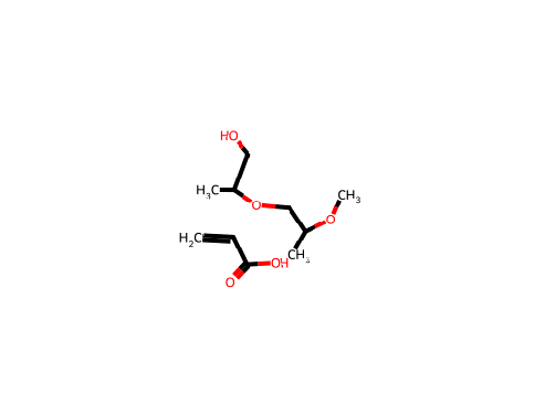 C=CC(=O)O.COC(C)COC(C)CO